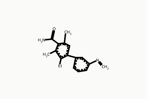 C=Nc1cccc(-c2cc(C)c(C(N)=O)c(C)c2CC)c1